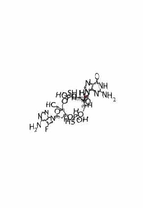 C#C[C@@]12CO[PH](O)(S)O[C@@H]3[C@H](F)[C@@H](CO[PH](O)(S)O[C@H]1C[C@H](n1cc(F)c4c(N)ncnc41)O2)O[C@H]3n1cnc2c(=O)[nH]c(N)nc21